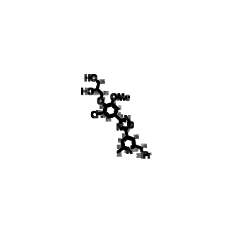 COc1cc(-c2noc(-c3cc(C)nc(CC(C)C)c3)n2)cc(Cl)c1OC[C@@H](O)CO